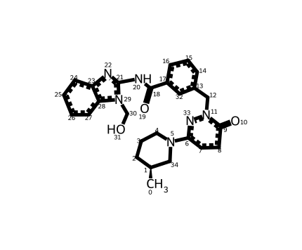 C[C@H]1CCCN(c2ccc(=O)n(Cc3cccc(C(=O)Nc4nc5ccccc5n4CO)c3)n2)C1